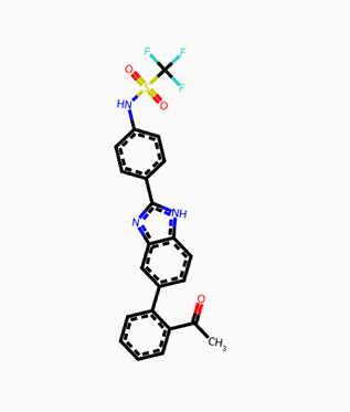 CC(=O)c1ccccc1-c1ccc2[nH]c(-c3ccc(NS(=O)(=O)C(F)(F)F)cc3)nc2c1